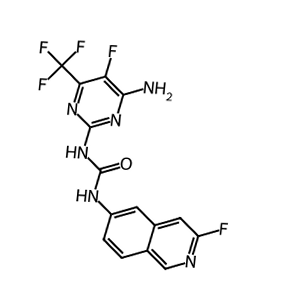 Nc1nc(NC(=O)Nc2ccc3cnc(F)cc3c2)nc(C(F)(F)F)c1F